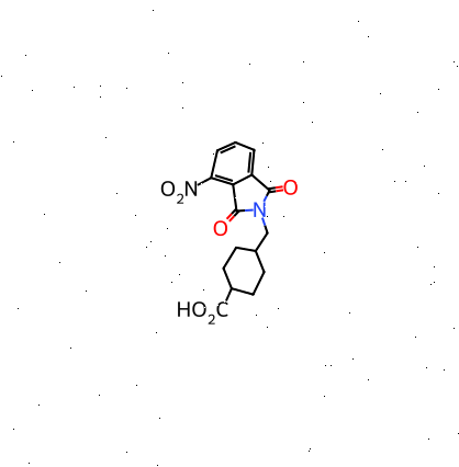 O=C(O)C1CCC(CN2C(=O)c3cccc([N+](=O)[O-])c3C2=O)CC1